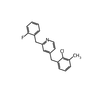 Cc1cccc(Cc2ccnc(Cc3ccccc3F)c2)c1Cl